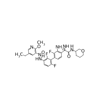 CCc1cnc(OC)c(N(O)Nc2ccc(F)c(-c3ccc(C(=N)C(=O)NC4CCCOC4)c(N)c3F)c2F)c1